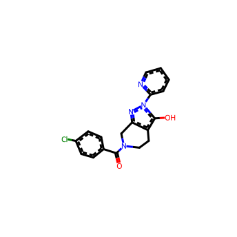 O=C(c1ccc(Cl)cc1)N1CCc2c(nn(-c3ccccn3)c2O)C1